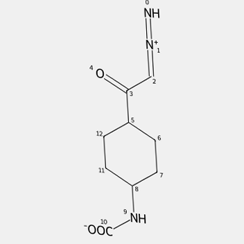 N=[N+]=CC(=O)C1CCC(NC(=O)[O-])CC1